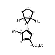 CCOC(=O)c1cc([C@@H]2[C@@H]3COC[C@@H]32)n(C(C)C)n1